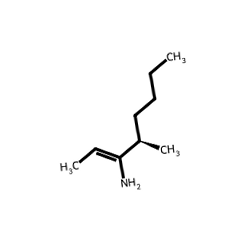 CC=C(N)[C@H](C)CCCC